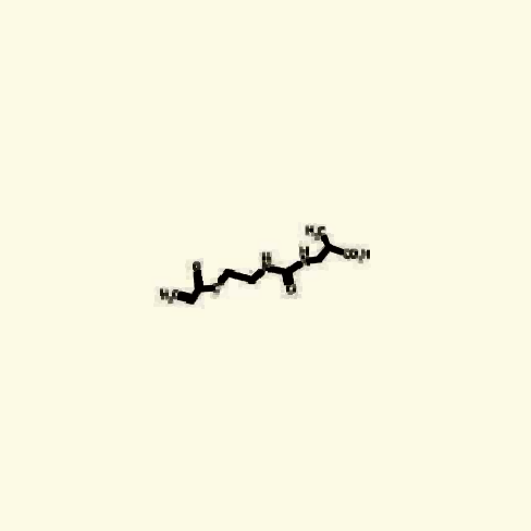 C=CC(=O)OCCNC(=O)NCC(C)C(=O)O